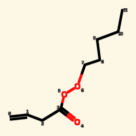 C=CCC(=O)OOCCCCC